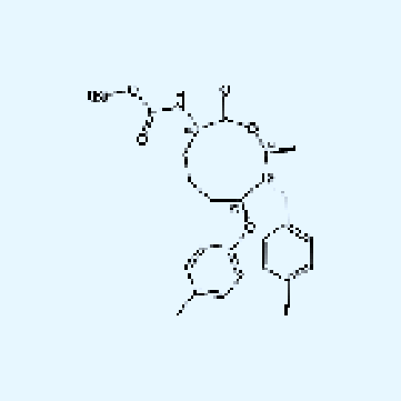 Cc1ccc(O[C@H]2CCC[C@H](NC(=O)OC(C)(C)C)C(=O)O[C@@H](C)[C@@H]2Cc2ccc(F)cc2)cc1